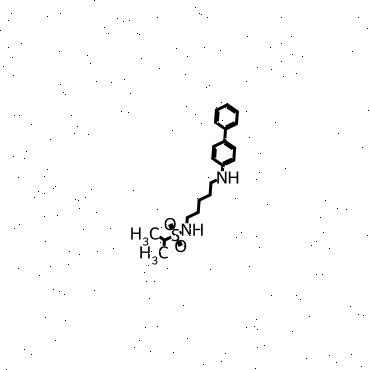 CC(C)S(=O)(=O)NCCCCCNc1ccc(-c2ccccc2)cc1